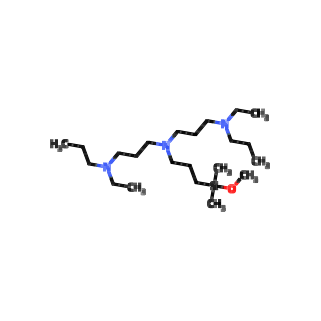 CCCN(CC)CCCN(CCCN(CC)CCC)CCC[Si](C)(C)OC